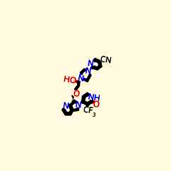 N#Cc1ccc(N2CCN(C(O)CCOC[C@H]3c4ncccc4CN3c3cc[nH]c(=O)c3C(F)(F)F)CC2)nc1